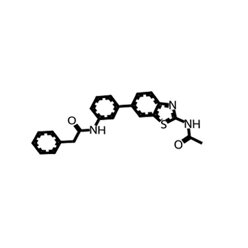 CC(=O)Nc1nc2ccc(-c3cccc(NC(=O)Cc4ccccc4)c3)cc2s1